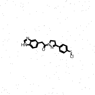 O=C(Cc1ccc2[nH]cnc2c1)N1CCC(c2ccc(SCl)cc2)=N1